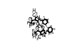 Cc1nn(-c2ccccc2)c([O][Cu][O]c2c(C(=O)C(F)(F)F)c(C)nn2-c2ccccc2)c1C(=O)C(F)(F)F